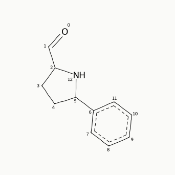 O=CC1CCC(c2ccccc2)N1